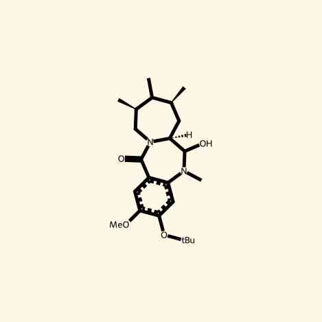 COc1cc2c(cc1OC(C)(C)C)N(C)C(O)[C@@H]1C[C@H](C)C(C)[C@H](C)CN1C2=O